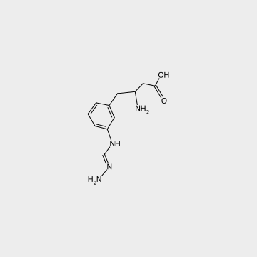 NN=CNc1cccc(CC(N)CC(=O)O)c1